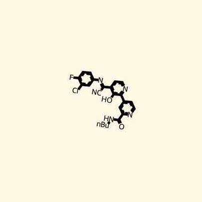 CCCCNC(=O)c1cc(-c2nccc(/C(C#N)=N/c3ccc(F)c(Cl)c3)c2O)ccn1